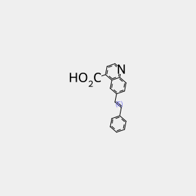 O=C(O)c1ccnc2ccc(/C=C/c3ccccc3)cc12